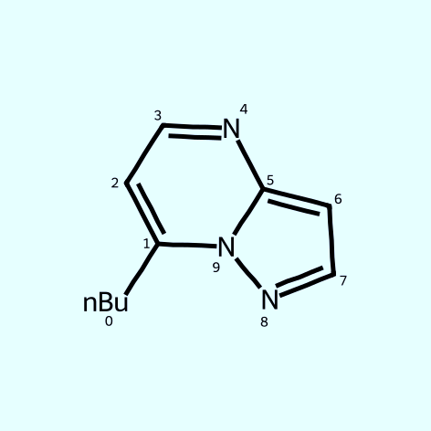 CCCCc1ccnc2ccnn12